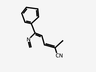 C=N/C(=C\C=C(/C)C#N)c1ccccc1